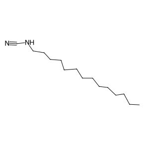 CCCCCCCCCCCCCCNC#N